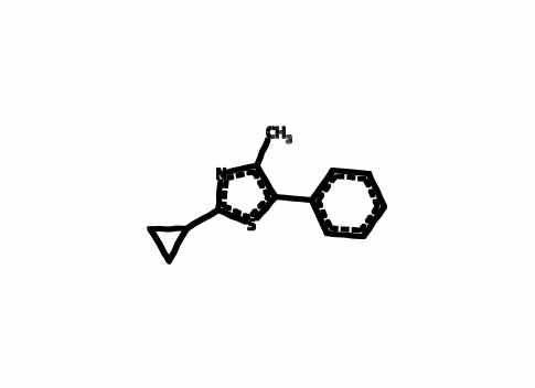 Cc1nc(C2CC2)sc1-c1ccccc1